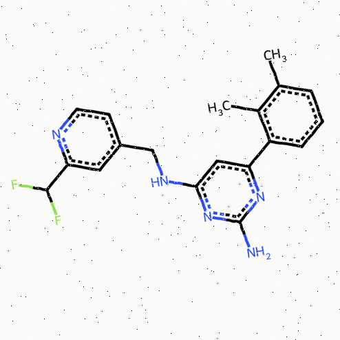 Cc1cccc(-c2cc(NCc3ccnc(C(F)F)c3)nc(N)n2)c1C